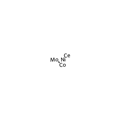 [Ce].[Co][Mo].[Ni]